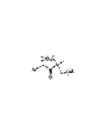 CCOC(=O)C(C)(C(=O)CC(C)=O)C(=O)OCC